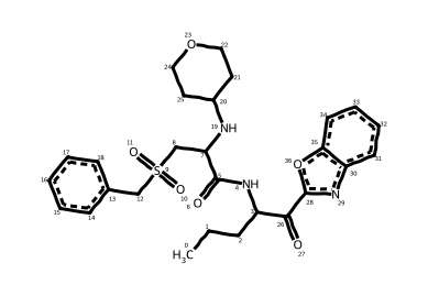 CCCC(NC(=O)C(CS(=O)(=O)Cc1ccccc1)NC1CCOCC1)C(=O)c1nc2ccccc2o1